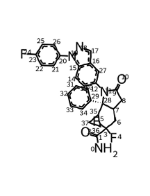 NC(=O)C(F)(F)C[C@@H]1CC(=O)N(c2ccc3c(cnn3-c3ccc(F)cc3)c2)[C@]1(c1ccccc1)C1CC1